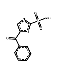 CCCCS(=O)(=O)c1ncc(C(=O)c2ccccc2)s1